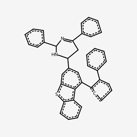 c1ccc(C2=NC(c3ccccc3)NC(c3cc(-c4ccccc4-c4ccccc4)c4c(c3)sc3ccccc34)C2)cc1